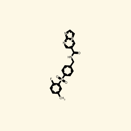 Cc1ccc(F)c(S(=O)(=O)c2ccc(CNC(=O)c3cnc4nccn4c3)cc2)c1